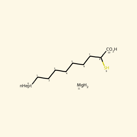 CCCCCCCCCCCCCCC(S)C(=O)O.[MgH2]